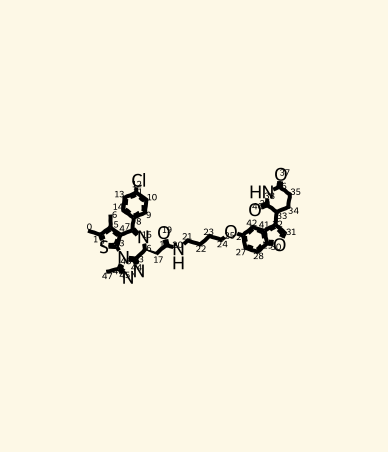 Cc1sc2c(c1C)C(c1ccc(Cl)cc1)=N[C@@H](CC(=O)NCCCCOc1ccc3occ(C4CCC(=O)NC4=O)c3c1)c1nnc(C)n1-2